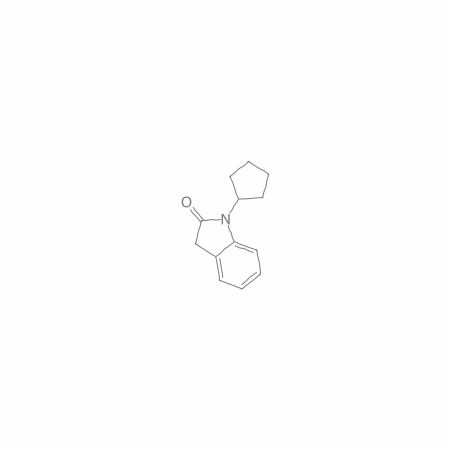 O=C1Cc2ccccc2N1C1CCCC1